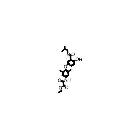 CCOC(=O)C(=O)Nc1cc(C)c(Oc2ccc(O)c(C(=O)NCC(C)C)c2)c(C)c1